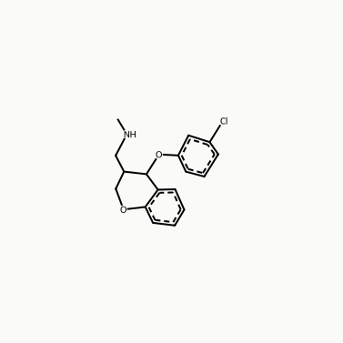 CNCC1COc2ccccc2C1Oc1cccc(Cl)c1